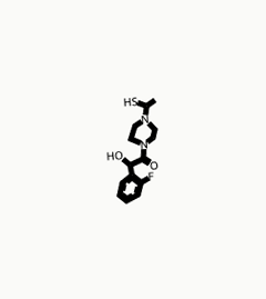 CC(S)N1CCN(C(=O)C(O)c2ccccc2F)CC1